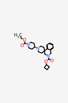 CCOC(=O)N1CCC(N2CCC3(CC2)CN(C(=O)OC2CCC2)Cc2ccccc23)CC1